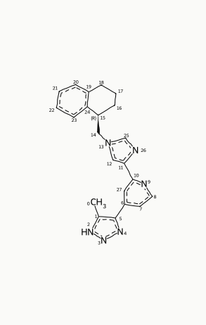 Cc1[nH]nnc1-c1ccnc(-c2cn(C[C@@H]3CCCc4ccccc43)cn2)c1